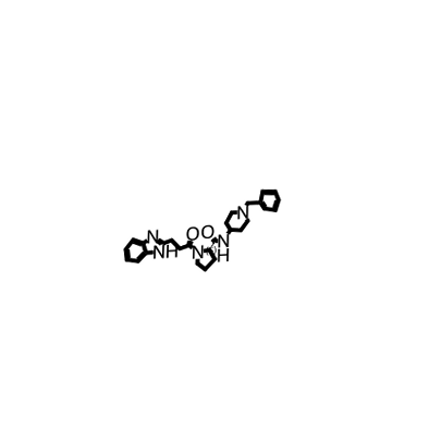 O=C(NC1CCN(Cc2ccccc2)CC1)[C@@H]1CCCN1C(=O)CCc1nc2ccccc2[nH]1